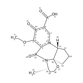 COc1c2n(cc(C(=O)O)c1=O)[C@@H]1CCC[C@@]13OCC[C@H](C)N3C2=O